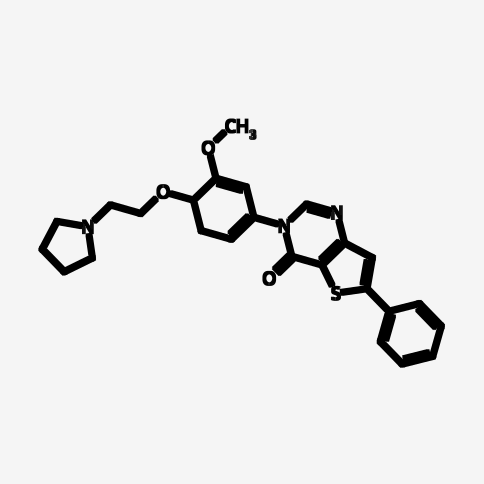 COC1=CC(n2cnc3cc(-c4ccccc4)sc3c2=O)=CCC1OCCN1CCCC1